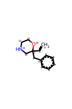 C=CC1(Cc2ccccc2)CNCCO1